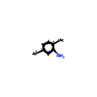 CC(=O)c1ccc(C(C)=O)c(N)c1